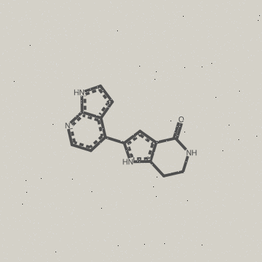 O=C1NCCc2[nH]c(-c3ccnc4[nH]ccc34)cc21